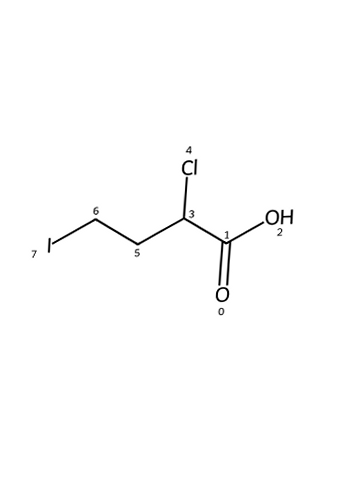 O=C(O)C(Cl)CCI